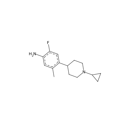 Cc1cc(N)c(F)cc1C1CCN(C2CC2)CC1